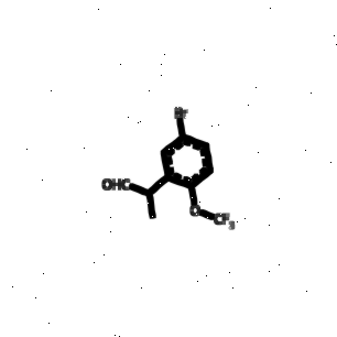 CC(C=O)c1cc(Br)ccc1OC(F)(F)F